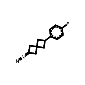 [N-]=[N+]=C1CC2(C1)CC(c1ccc(F)cc1)C2